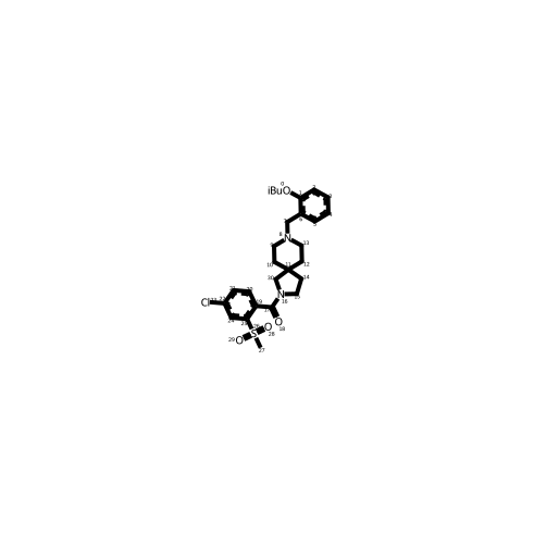 CC(C)COc1ccccc1CN1CCC2(CC1)CCN(C(=O)c1ccc(Cl)cc1S(C)(=O)=O)C2